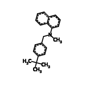 CN(Cc1ccc(C(C)(C)C)cc1)c1cccc2ccccc12